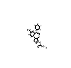 NC(=O)Cn1ncc2c1CN=C(c1ccccc1)c1cc(Cl)ccc1-2